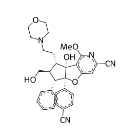 COc1nc(C#N)cc2c1[C@]1(O)[C@@H](CCN3CCOCC3)[C@H](CO)[C@@H](c3ccccc3)[C@]1(c1ccc(C#N)cc1)O2